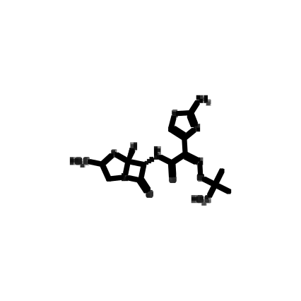 CC(C)(O/N=C(\C(=O)N[C@@H]1C(=O)N2CC(C(=O)O)S[C@H]12)c1csc(N)n1)C(=O)O